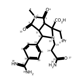 CC(C)CC1(C(=O)O)C2C(=O)N(C)C(=O)C2C(c2ccc(C(=N)N)cc2)N1CCC(N)=O